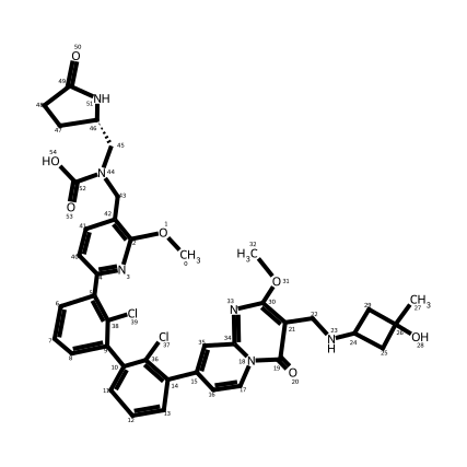 COc1nc(-c2cccc(-c3cccc(-c4ccn5c(=O)c(CNC6CC(C)(O)C6)c(OC)nc5c4)c3Cl)c2Cl)ccc1CN(C[C@@H]1CCC(=O)N1)C(=O)O